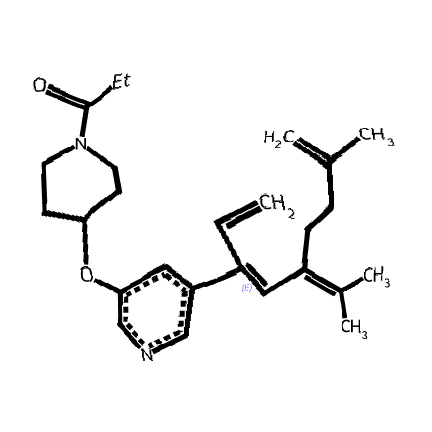 C=C/C(=C\C(CCC(=C)C)=C(C)C)c1cncc(OC2CCN(C(=O)CC)CC2)c1